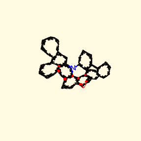 c1ccc(-c2ccccc2-c2c(-c3ccccc3)cccc2N(c2cc3ccccc3c3ccccc23)c2cccc3oc4ccccc4c23)cc1